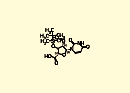 CO[C@H]1C(O[Si](C)(C)C(C)(C)C)[C@@H](C(=O)O)O[C@H]1n1ccc(=O)[nH]c1=O